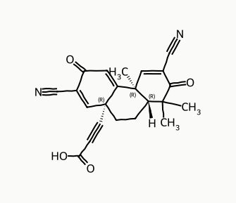 CC1(C)C(=O)C(C#N)=C[C@]2(C)C3=CC(=O)C(C#N)=C[C@]3(C#CC(=O)O)CC[C@@H]12